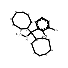 CNC(c1cccc(Cl)c1Cl)(C1CCCCCCC1)C1CCCCCCC1